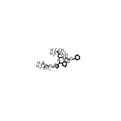 CC(C)(C)C(=O)CC1N=C(c2ccn(COCC[Si](C)(C)C)n2)c2ccccc2N(NC(=O)OCc2ccccc2)C1=O